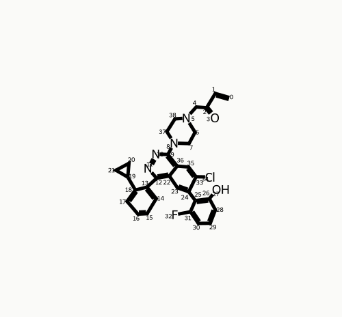 C=CC(=O)CN1CCN(c2nnc(-c3ccccc3C3CC3)c3cc(-c4c(O)cccc4F)c(Cl)cc23)CC1